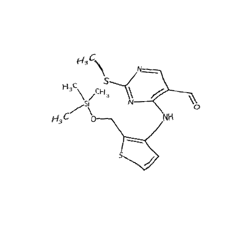 CSc1ncc(C=O)c(Nc2ccsc2CO[Si](C)(C)C)n1